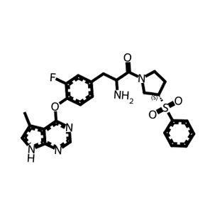 Cc1c[nH]c2ncnc(Oc3ccc(CC(N)C(=O)N4CC[C@H](S(=O)(=O)c5ccccc5)C4)cc3F)c12